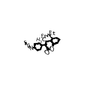 CCN(CC)c1cccc2oc(=O)c(-c3ccc(N=C=S)cc3)c(C)c12